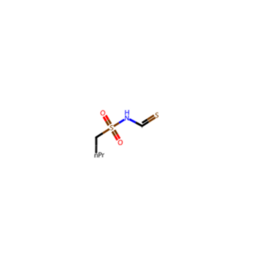 CCCCS(=O)(=O)N[C]=S